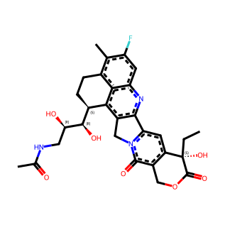 CC[C@@]1(O)C(=O)OCc2c1cc1n(c2=O)Cc2c-1nc1cc(F)c(C)c3c1c2[C@@H]([C@@H](O)[C@H](O)CNC(C)=O)CC3